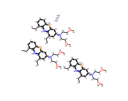 CCc1cccc2[s+]c3cc(N(CCOC)CCOC)cc(CC)c3nc12.CCc1cccc2[s+]c3cc(N(CCOC)CCOC)cc(CC)c3nc12.CCc1cccc2[s+]c3cc(N(CCOC)CCOC)cc(CC)c3nc12.[I-].[I-].[I-]